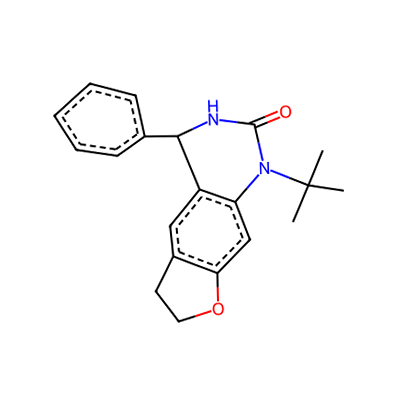 CC(C)(C)N1C(=O)NC(c2ccccc2)c2cc3c(cc21)OCC3